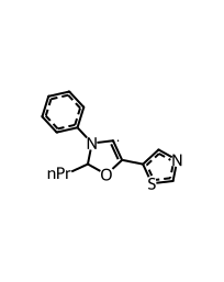 CCCC1OC(c2cncs2)=[C]N1c1ccccc1